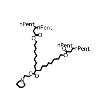 CCCCCC(CCCCC)CC(=O)OCCCCCCCCC(CCCCCCCCOC(=O)CC(CCCCC)CCCCC)C(=O)OCCN1CCCCC1